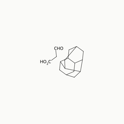 C1C2CC3C4CC5CC(C14)C(C2)C3C5.O=CCC(=O)O